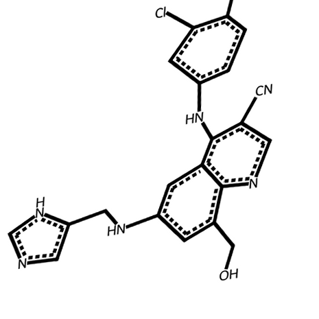 N#Cc1cnc2c(CO)cc(NCc3cnc[nH]3)cc2c1Nc1ccc(F)c(Cl)c1